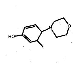 CC1C=C(O)C=CC1N1CCOCC1